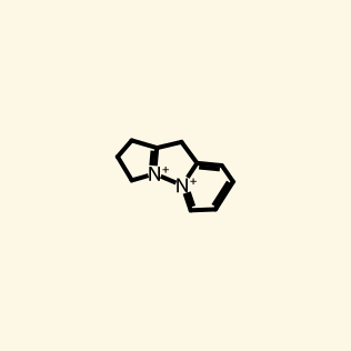 c1cc[n+]2c(c1)CC1=[N+]2CCC1